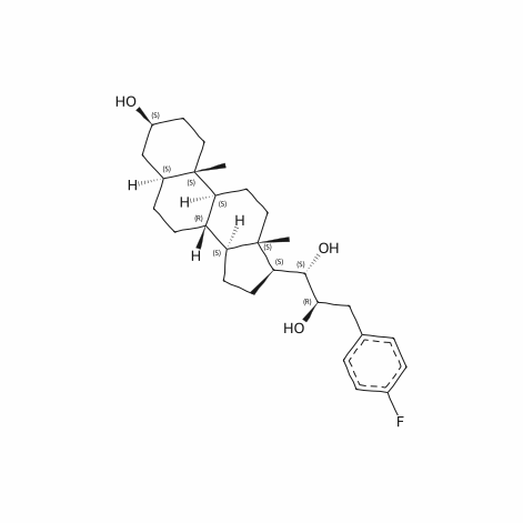 C[C@]12CC[C@H](O)C[C@@H]1CC[C@@H]1[C@@H]2CC[C@]2(C)[C@@H]([C@H](O)[C@H](O)Cc3ccc(F)cc3)CC[C@@H]12